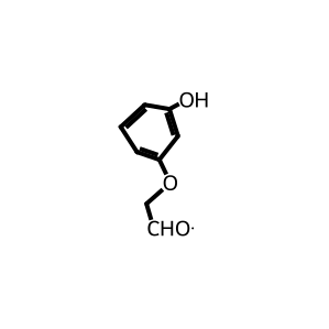 O=[C]COc1cccc(O)c1